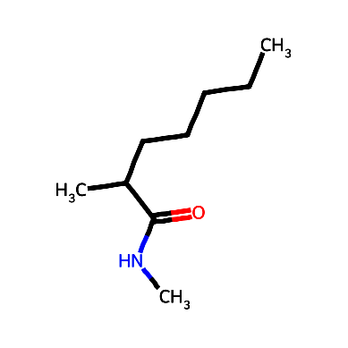 CCCCCC(C)C(=O)NC